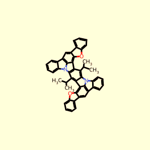 CC(C)c1c2c3c4oc5ccccc5c4cc4c5ccccc5n(c2c(C(C)C)c2c5c6oc7ccccc7c6cc6c7ccccc7n(c12)c65)c43